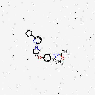 CC(=O)N[C@@H](C)c1ccc(O[C@@H]2CCN(c3cccc(C4CCCC4)n3)C2)cc1